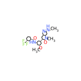 CCNc1cc2c(cn1)cc(-c1cc(NC(=O)c3cccc(C(F)(F)F)c3)cc(OC)c1)c(=O)n2C